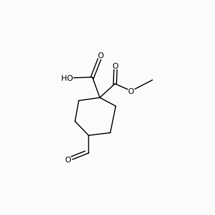 COC(=O)C1(C(=O)O)CCC(C=O)CC1